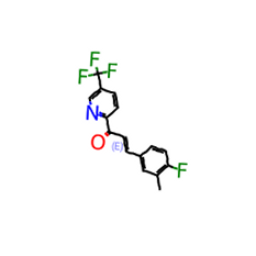 Cc1cc(/C=C/C(=O)c2ccc(C(F)(F)F)cn2)ccc1F